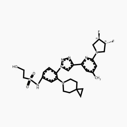 Cc1cc(-c2cn(-c3ccc(NS(=O)(=O)CCO)cc3N3CCC4(CC3)CC4)nn2)nc(N2C[C@@H](F)[C@H](F)C2)c1